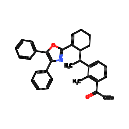 COC(=O)c1cccc(C(C)C2CCCC=C2c2nc(-c3ccccc3)c(-c3ccccc3)o2)c1C